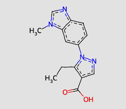 CCc1c(C(=O)O)cnn1-c1ccc2ncn(C)c2c1